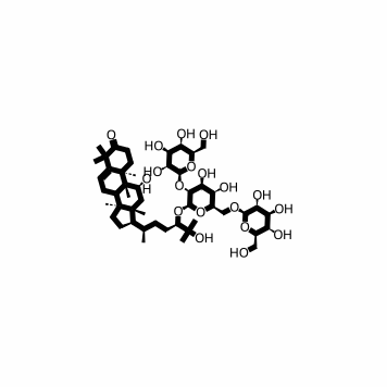 C[C@H](CC[C@@H](O[C@@H]1O[C@H](CO[C@@H]2O[C@H](CO)[C@@H](O)[C@H](O)[C@H]2O)[C@@H](O)[C@H](O)[C@H]1O[C@@H]1O[C@H](CO)[C@@H](O)[C@H](O)[C@H]1O)C(C)(C)O)[C@H]1CC[C@@]2(C)C3CC=C4C(C)(C)C(=O)CC[C@@]4(C)[C@]3(C)[C@H](O)C[C@]12C